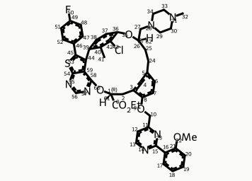 CCOC(=O)[C@H]1Cc2cc(ccc2OCc2ccnc(-c3ccccc3OC)n2)CC[C@@H](CN2CCN(C)CC2)Oc2ccc(c(C)c2Cl)-c2c(-c3ccc(F)cc3)sc3ncnc(c23)O1